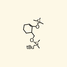 CC(C)(C)[Si](C)(C)OCC1CCCC=C1O[Si](C)(C)C